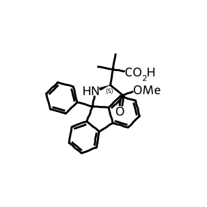 COC(=O)[C@@H](NC1(c2ccccc2)c2ccccc2-c2ccccc21)C(C)(C)C(=O)O